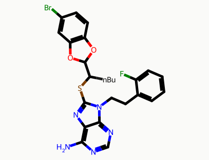 CCCCC(Sc1nc2c(N)ncnc2n1CCc1ccccc1F)C1Oc2ccc(Br)cc2O1